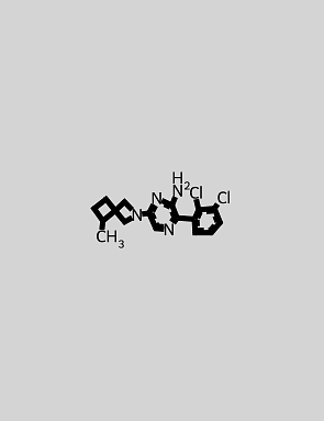 CC1CCC12CN(c1cnc(-c3cccc(Cl)c3Cl)c(N)n1)C2